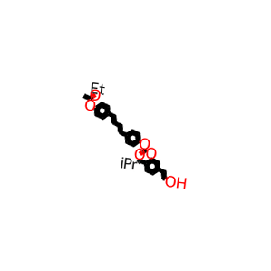 CCOC(C)Oc1ccc(C=CC=Cc2ccc(OC(=O)OC(c3ccc(C=CO)cc3)C(C)C)cc2)cc1